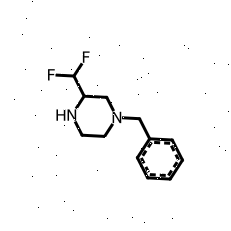 FC(F)C1CN(Cc2ccccc2)CCN1